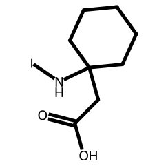 O=C(O)CC1(NI)CCCCC1